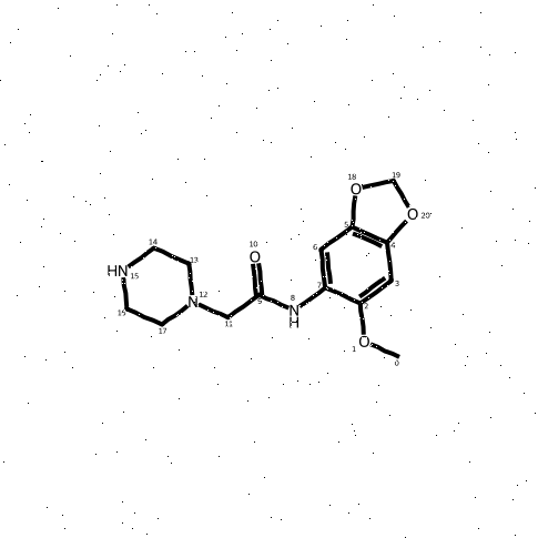 COc1cc2c(cc1NC(=O)CN1CCNCC1)OCO2